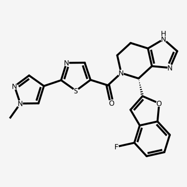 Cn1cc(-c2ncc(C(=O)N3CCc4[nH]cnc4[C@@H]3c3cc4c(F)cccc4o3)s2)cn1